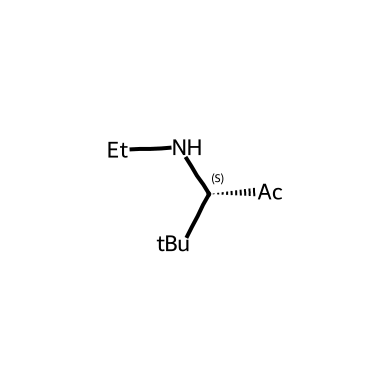 CCN[C@H](C(C)=O)C(C)(C)C